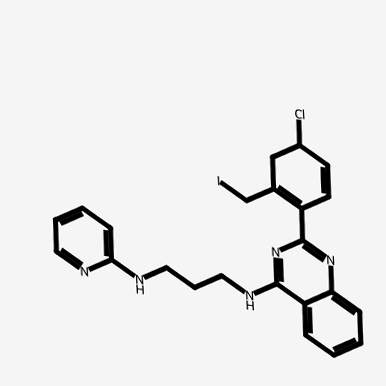 ClC1C=CC(c2nc(NCCCNc3ccccn3)c3ccccc3n2)=C(CI)C1